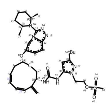 C=C1/C=C\C=C/C[C@H](Oc2ccc3nnc(N4[C@H](C)CCC[C@@H]4C)n3c2)CC[C@@H]1NC(=O)Nc1cc(C(C)(C)C)nn1CCOS(C)(=O)=O